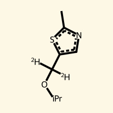 [2H]C([2H])(OC(C)C)c1cnc(C)s1